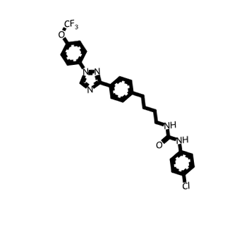 O=C(NCCCCc1ccc(-c2ncn(-c3ccc(OC(F)(F)F)cc3)n2)cc1)Nc1ccc(Cl)cc1